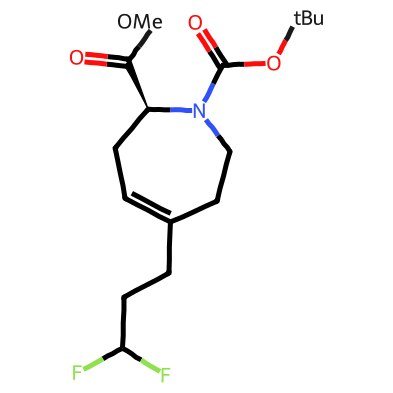 COC(=O)[C@@H]1CC=C(CCC(F)F)CCN1C(=O)OC(C)(C)C